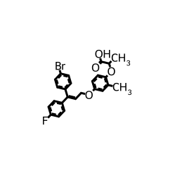 Cc1cc(OCC=C(c2ccc(F)cc2)c2ccc(Br)cc2)ccc1OC(C)C(=O)O